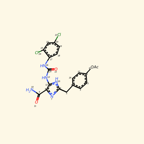 CC(=O)Oc1ccc(Cc2nc(C(N)=O)c(NC(=O)Nc3ccc(Cl)cc3Cl)[nH]2)cc1